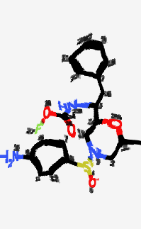 CC1CN([S+]([O-])c2ccc(N)cc2)CC(C(Cc2ccccc2)NC(=O)OF)O1